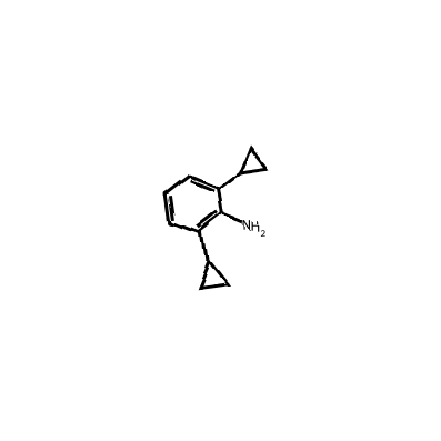 Nc1c(C2CC2)cccc1C1CC1